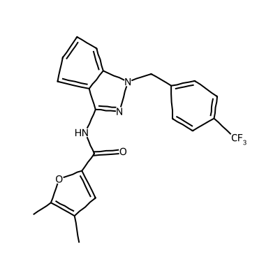 Cc1cc(C(=O)Nc2nn(Cc3ccc(C(F)(F)F)cc3)c3ccccc23)oc1C